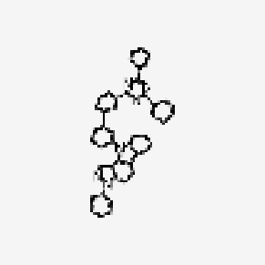 c1ccc(-c2nc(-c3ccccc3)nc(-c3cccc(-c4cccc(-n5c6ccccc6c6ccc7c(cnn7-c7ccccc7)c65)c4)c3)n2)cc1